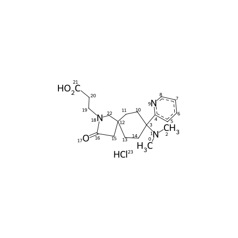 CN(C)C1(c2ccccn2)CCC2(CC1)CC(=O)N(CCC(=O)O)C2.Cl